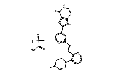 CN1CCN(c2ccccc2C=Cc2cc(-c3cc4c([nH]3)CCNC4=O)ccn2)CC1.O=C(O)C(F)(F)F